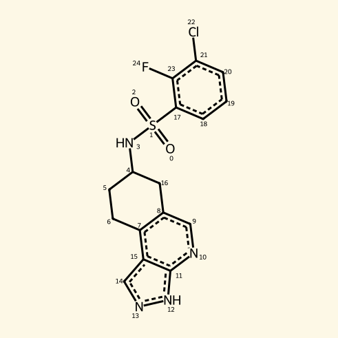 O=S(=O)(NC1CCc2c(cnc3[nH]ncc23)C1)c1cccc(Cl)c1F